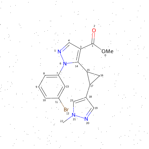 COC(=O)c1cnn(-c2cccc(Br)c2)c1C1CC1c1cnn(C)c1